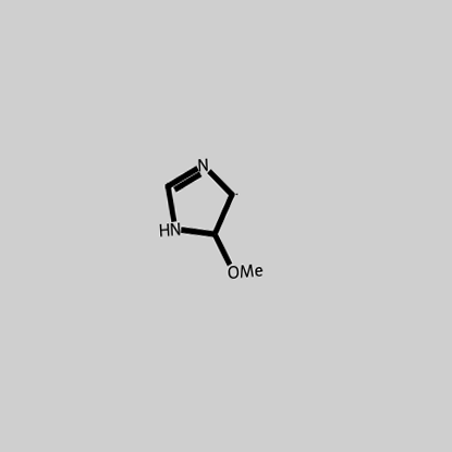 COC1[CH]N=CN1